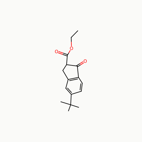 CCOC(=O)C1Cc2cc(C(C)(C)C)ccc2C1=O